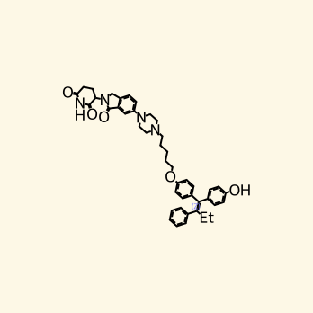 CC/C(=C(\c1ccc(O)cc1)c1ccc(OCCCCCN2CCN(c3ccc4c(c3)C(=O)N(C3CCC(=O)NC3=O)C4)CC2)cc1)c1ccccc1